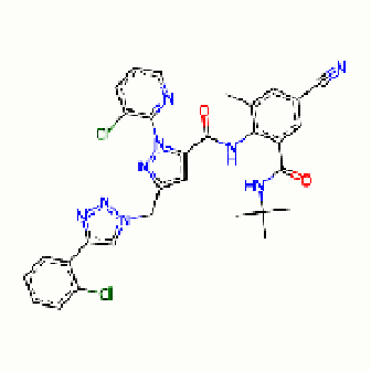 Cc1cc(C#N)cc(C(=O)NC(C)(C)C)c1NC(=O)c1cc(Cn2cc(-c3ccccc3Cl)nn2)nn1-c1ncccc1Cl